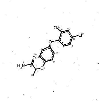 CC(Oc1ccc(Oc2ccc(Cl)cc2Cl)cc1)C(N)=O